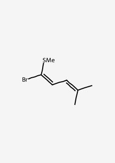 CS/C(Br)=C\C=C(C)C